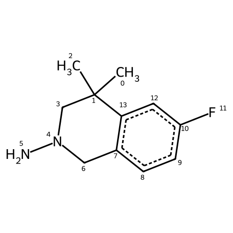 CC1(C)CN(N)Cc2ccc(F)cc21